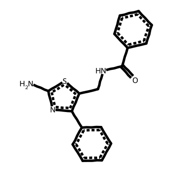 Nc1nc(-c2ccccc2)c(CNC(=O)c2ccccc2)s1